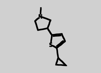 CN1CCC(c2ccc(C3CC3)s2)C1